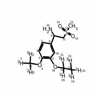 [2H]C([2H])([2H])Oc1ccc(C(N)CS(C)(=O)=O)cc1OC([2H])([2H])C([2H])([2H])[2H]